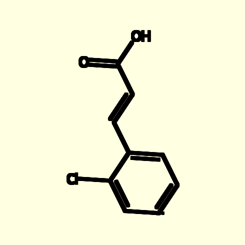 O=C(O)C=Cc1cc[c]cc1Cl